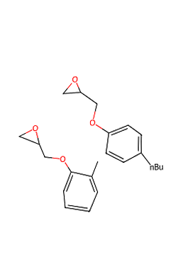 CCCCc1ccc(OCC2CO2)cc1.Cc1ccccc1OCC1CO1